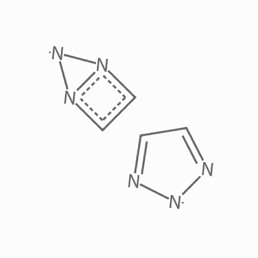 C1=N[N]N=C1.c1cn2n1[N]2